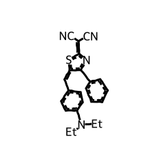 CCN(CC)c1ccc(/C=c2/sc(=C(C#N)C#N)nc2-c2ccccc2)cc1